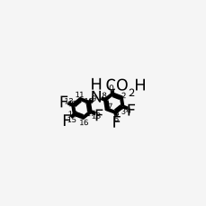 O=C(O)c1cc(F)c(F)cc1Nc1cc(F)c(F)cc1F